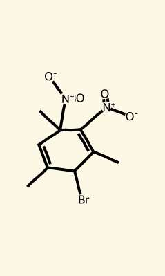 CC1=CC(C)([N+](=O)[O-])C([N+](=O)[O-])=C(C)C1Br